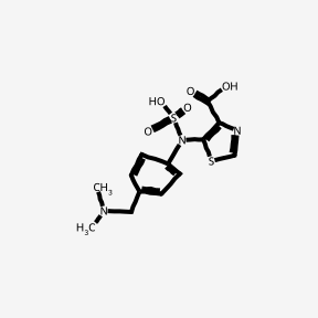 CN(C)Cc1ccc(N(c2scnc2C(=O)O)S(=O)(=O)O)cc1